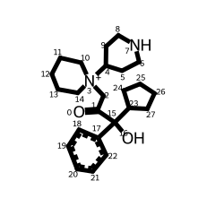 O=C(C[N+]1(C2CCNCC2)CCCCC1)C(O)(c1ccccc1)C1CCCC1